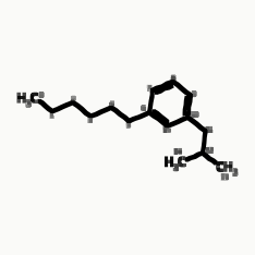 CCCCCCc1cccc(CC(C)C)c1